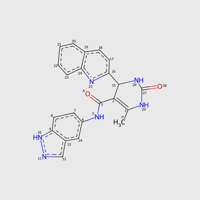 CC1=C(C(=O)Nc2ccc3[nH]ncc3c2)C(c2ccc3ccccc3n2)NC(=O)N1